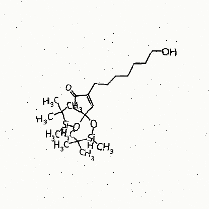 C[SiH](OC1(O[SiH](C)C(C)(C)C)C=C(CCCCCCCO)C(=O)C1)C(C)(C)C